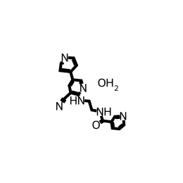 N#Cc1cc(-c2ccncc2)cnc1NCCNC(=O)c1cccnc1.O